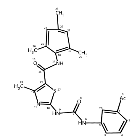 CC(=O)c1cccc(NC(=O)Nc2nc(C)c(C(=O)Nc3c(C)cc(C)cc3C)s2)c1